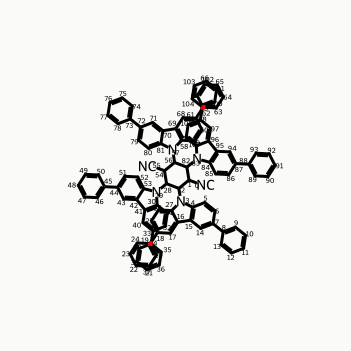 [C-]#[N+]C1C(n2c3ccc(-c4ccccc4)cc3c3cc(-c4ccccc4)ccc32)C(n2c3ccc(-c4ccccc4)cc3c3cc(-c4ccccc4)ccc32)C(C#N)C(n2c3ccc(-c4ccccc4)cc3c3cc(-c4ccccc4)ccc32)C1n1c2ccc(-c3ccccc3)cc2c2cc(-c3ccccc3)ccc21